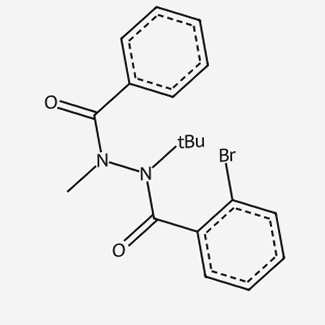 CN(C(=O)c1ccccc1)N(C(=O)c1ccccc1Br)C(C)(C)C